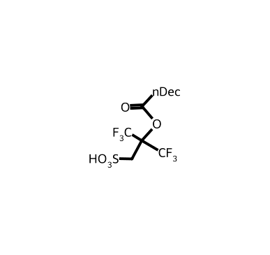 CCCCCCCCCCC(=O)OC(CS(=O)(=O)O)(C(F)(F)F)C(F)(F)F